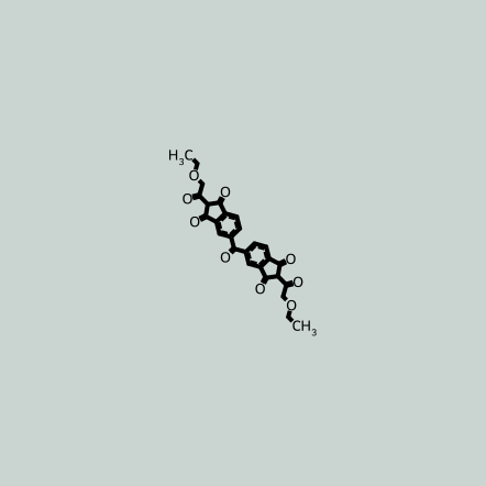 CCOCC(=O)C1C(=O)c2ccc(C(=O)c3ccc4c(c3)C(=O)C(C(=O)COCC)C4=O)cc2C1=O